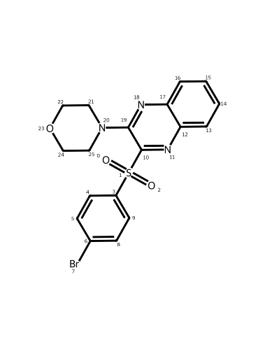 O=S(=O)(c1ccc(Br)cc1)c1nc2ccccc2nc1N1CCOCC1